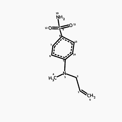 C=CCN(C)c1ccc(S(N)(=O)=O)cc1